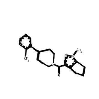 Cn1nc(C(=O)N2CCC(c3ccccc3C(F)(F)F)CC2)c2c1CCC2